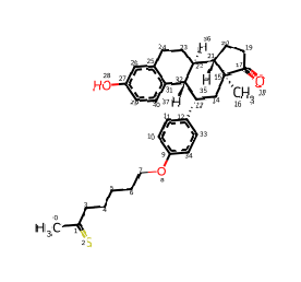 CC(=S)CCCCCOc1ccc([C@H]2C[C@]3(C)C(=O)CC[C@H]3[C@@H]3CCc4cc(O)ccc4[C@H]32)cc1